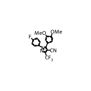 COc1ccc(-c2c(C#N)c(C(F)(F)F)nn2-c2ccc(F)cc2)cc1OC